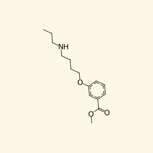 CCCNCCCCOc1cccc(C(=O)OC)c1